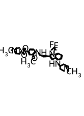 COc1cc(S(=O)(=O)N2CCN(C)CC2)ccc1NCC#Cc1cc2c(NC3CCN(C)CC3)cccc2n1CC(F)(F)F